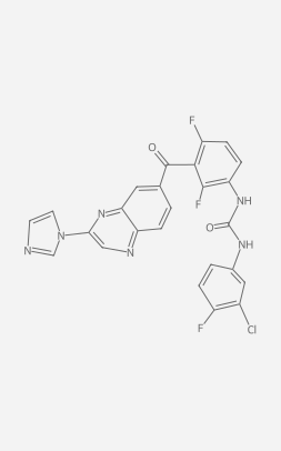 O=C(Nc1ccc(F)c(Cl)c1)Nc1ccc(F)c(C(=O)c2ccc3ncc(-n4ccnc4)nc3c2)c1F